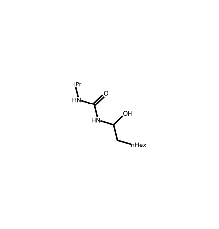 CCCCCCCC(O)NC(=O)NC(C)C